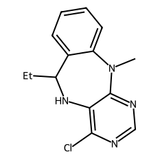 CCC1Nc2c(Cl)ncnc2N(C)c2ccccc21